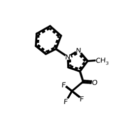 Cc1nn(-c2ccccc2)cc1C(=O)C(F)(F)F